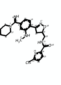 CNc1cc(C(=N)N2CCCCC2)ccc1C1=NOC(CNC(=O)c2ccc(Cl)s2)C1